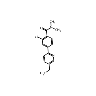 CCc1ccc(-c2ccc(C(=O)N(C)C)c(Cl)c2)nc1